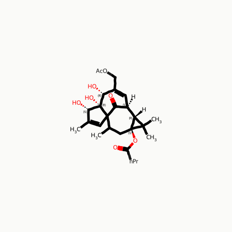 CCCC(=O)O[C@@]12CC(C)C34C=C(C)[C@H](O)[C@@]3(O)[C@H](O)C(COC(C)=O)=C[C@H](C4=O)[C@@H]1C2(C)C